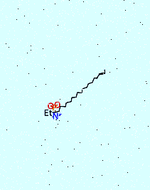 CC=CCCCCCCCCCCCCCCCC(CC)(P(=O)=O)[N+](C)(C)C